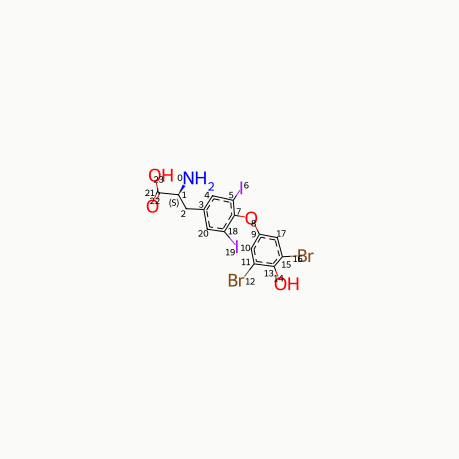 N[C@@H](Cc1cc(I)c(Oc2cc(Br)c(O)c(Br)c2)c(I)c1)C(=O)O